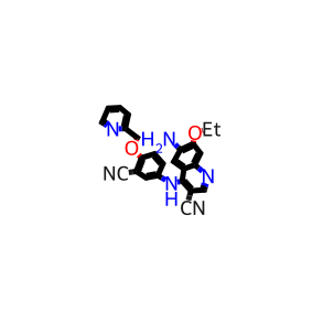 CCOc1cc2ncc(C#N)c(Nc3ccc(OCc4ccccn4)c(C#N)c3)c2cc1N